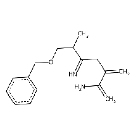 C=C(N)C(=C)CC(=N)C(C)COCc1ccccc1